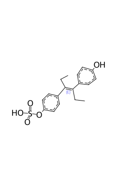 CC/C(=C(/CC)c1ccc(OS(=O)(=O)O)cc1)c1ccc(O)cc1